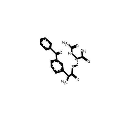 CC(=O)N[C@@H](CSC(=O)C(C)c1cccc(C(=O)c2ccccc2)c1)C(=O)O